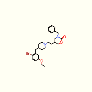 CCOc1ccc(Br)c(CC2CCN(CCC3COC(=O)N(Cc4ccccc4)C3)CC2)c1